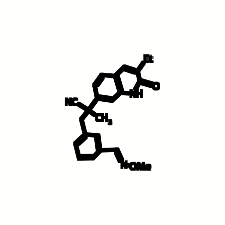 CCc1cc2ccc(C(C)(C#N)Cc3cccc(/C=N/OC)c3)cc2[nH]c1=O